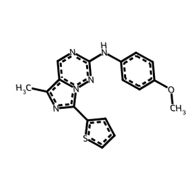 COc1ccc(Nc2ncc3c(C)nc(-c4cccs4)n3n2)cc1